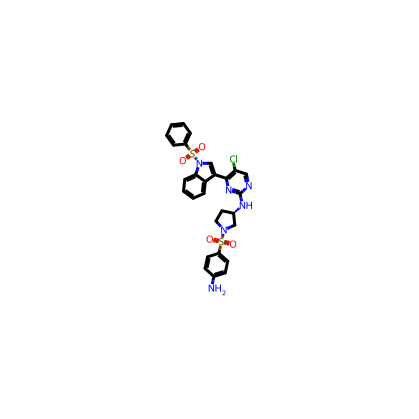 Nc1ccc(S(=O)(=O)N2CC[C@@H](Nc3ncc(Cl)c(-c4cn(S(=O)(=O)c5ccccc5)c5ccccc45)n3)C2)cc1